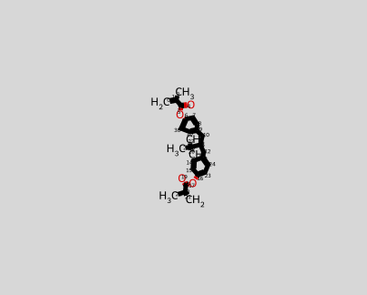 C=C(C)C(=O)Oc1ccc(CC(Cc2ccc(OC(=O)C(=C)C)cc2)C(C)(C)C)cc1